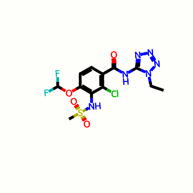 CCn1nnnc1NC(=O)c1ccc(OC(F)F)c(NS(C)(=O)=O)c1Cl